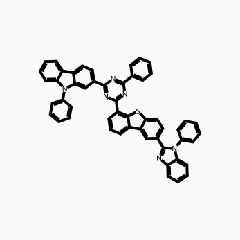 c1ccc(-c2nc(-c3ccc4c5ccccc5n(-c5ccccc5)c4c3)nc(-c3cccc4c3sc3ccc(-c5nc6ccccc6n5-c5ccccc5)cc34)n2)cc1